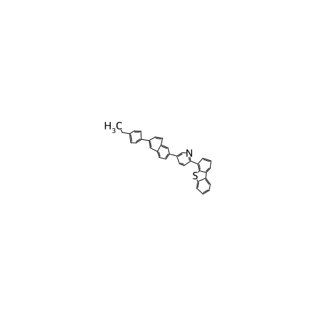 CCc1ccc(-c2ccc3cc(-c4ccc(-c5cccc6c5sc5ccccc56)nc4)ccc3c2)cc1